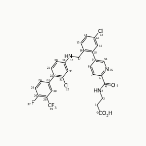 O=C(O)CCNC(=O)c1ccc(-c2cc(Cl)ccc2CNc2ccc(-c3ccc(F)c(C(F)(F)F)c3)c(Cl)c2)cn1